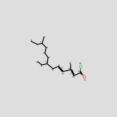 CCC(C)CCCC(CC)C/C=C/C(C)=C/C(=O)Cl